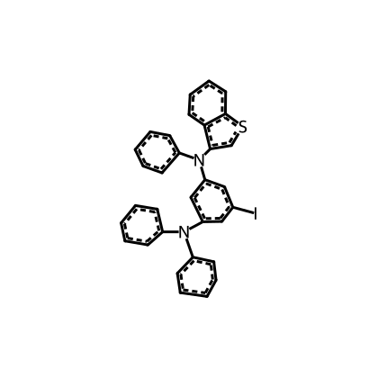 Ic1cc(N(c2ccccc2)c2ccccc2)cc(N(c2ccccc2)c2csc3ccccc23)c1